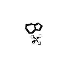 O=S(=O)(Cl)Cl.c1ccc2cccc-2cc1